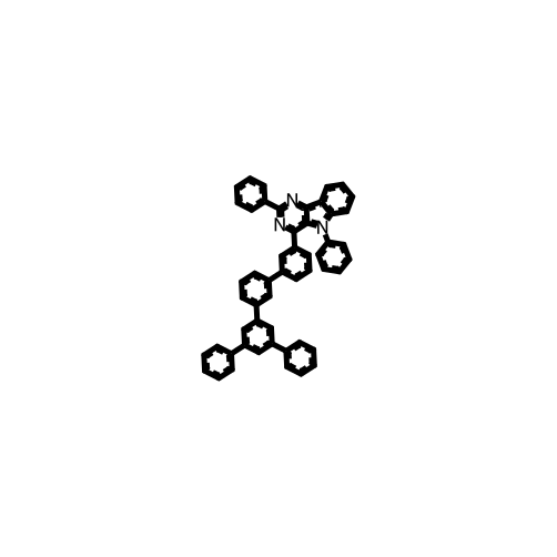 c1ccc(-c2cc(-c3ccccc3)cc(-c3cccc(-c4cccc(-c5nc(-c6ccccc6)nc6c7ccccc7n(-c7ccccc7)c56)c4)c3)c2)cc1